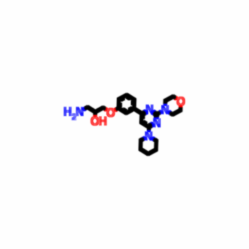 NCC(O)COc1cccc(-c2cc(N3CCCCC3)nc(N3CCOCC3)n2)c1